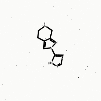 c1cc(-n2cc3c(n2)CNCC3)[nH]n1